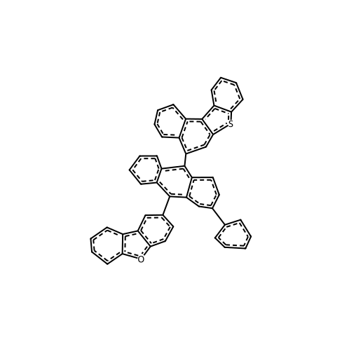 c1ccc(-c2ccc3c(-c4cc5sc6ccccc6c5c5ccccc45)c4ccccc4c(-c4ccc5oc6ccccc6c5c4)c3c2)cc1